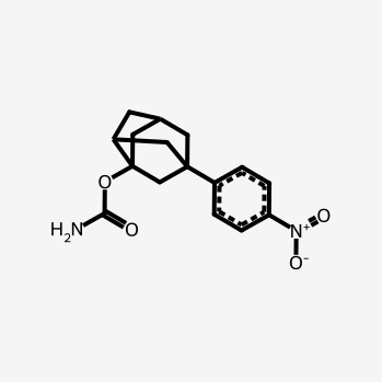 NC(=O)OC12CC3CC1CC(c1ccc([N+](=O)[O-])cc1)(C3)C2